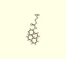 O=C(CCCO)Oc1ccc2ccc3cccc4ccc1c2c34